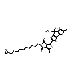 CCCCCCCCC1(CCCCCCCC)c2cc(C)sc2-c2sc(-c3sc(C)c4c3C(=O)N(CCCCCCCCOCC3CO3)C4=O)cc21